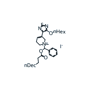 CCCCCCCCCCCCC(=O)OC(c1ccccc1)[N+]1(C)CCC=C(c2nsnc2OCCCCCC)C1.[I-]